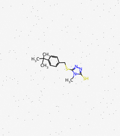 Cn1c(S)nnc1SCc1ccc(C(C)(C)C)cc1